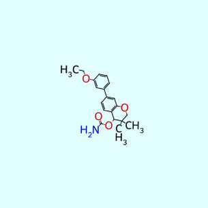 CCOc1cccc(-c2ccc3c(c2)OCC(C)(C)C3OC(N)=O)c1